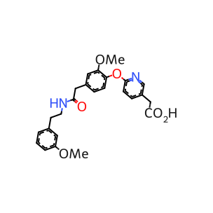 COc1cccc(CCNC(=O)Cc2ccc(Oc3ccc(CC(=O)O)cn3)c(OC)c2)c1